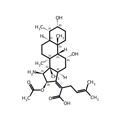 CC(=O)O[C@@H]1/C(=C(/CC=C(C)C)C(=O)O)[C@@H]2C[C@@H](O)[C@H]3[C@@]4(C)CC[C@@H](O)[C@@H](C)[C@@H]4CC[C@]3(C)[C@@]2(C)[C@@H]1N